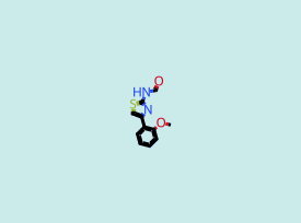 COc1ccccc1-c1csc(NC=O)n1